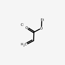 C=CC(=O)OCC.[C]